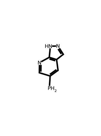 Pc1cnc2[nH]ncc2c1